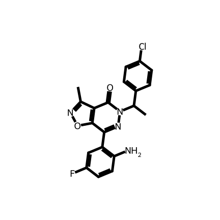 Cc1noc2c(-c3cc(F)ccc3N)nn(C(C)c3ccc(Cl)cc3)c(=O)c12